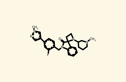 CN1CCCC(N2CCC23C(=O)N(Cc2ccc(-c4cnn(C)c4)cc2F)c2ccccc23)C1